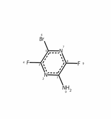 Nc1nc(F)c(Br)nc1F